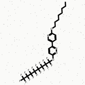 CCCCCCCCOc1ccc(-c2ccc(OC(F)(F)C(F)(F)C(F)(F)C(F)(F)C(F)(F)C(F)(F)C(F)(F)C(F)(F)F)nn2)cn1